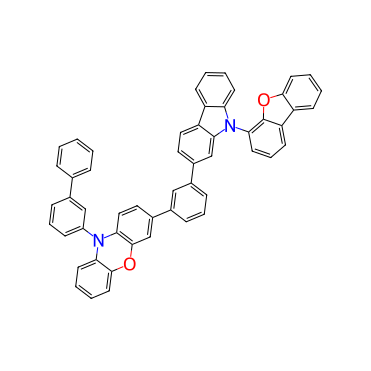 c1ccc(-c2cccc(N3c4ccccc4Oc4cc(-c5cccc(-c6ccc7c8ccccc8n(-c8cccc9c8oc8ccccc89)c7c6)c5)ccc43)c2)cc1